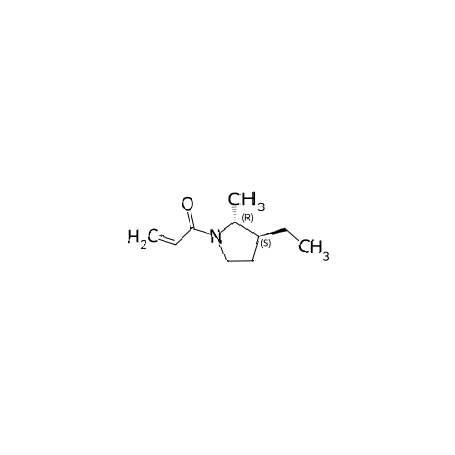 C=CC(=O)N1CC[C@H](CC)[C@H]1C